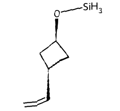 C=C[C@H]1C[C@@H](O[SiH3])C1